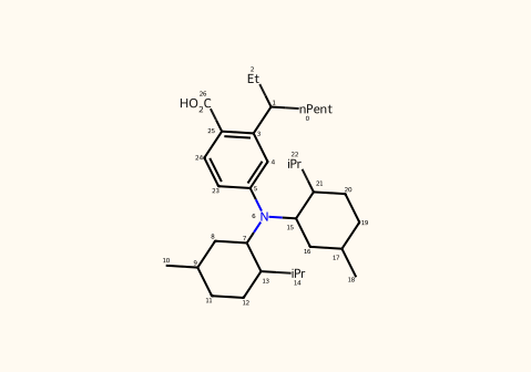 CCCCCC(CC)c1cc(N(C2CC(C)CCC2C(C)C)C2CC(C)CCC2C(C)C)ccc1C(=O)O